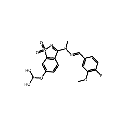 COc1cc(/C=N/N(C)C2=NS(=O)(=O)c3cc(OB(O)O)ccc32)ccc1F